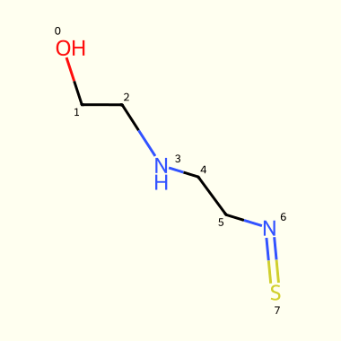 OCCNCCN=S